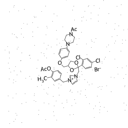 CC(=O)Oc1ccc(C[n+]2ccn(CC3(c4ccc(Cl)cc4Cl)OCC(COc4ccc(N5CCN(C(C)=O)CC5)cc4)O3)c2)cc1C.[Br-]